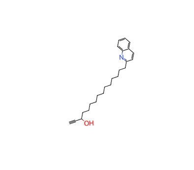 C#CC(O)CCCCCCCCCCCCc1ccc2ccccc2n1